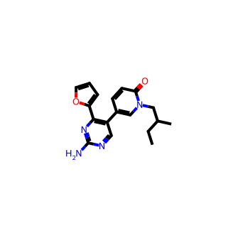 CCC(C)Cn1cc(-c2cnc(N)nc2-c2ccco2)ccc1=O